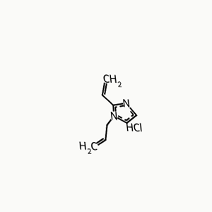 C=CCn1ccnc1C=C.Cl